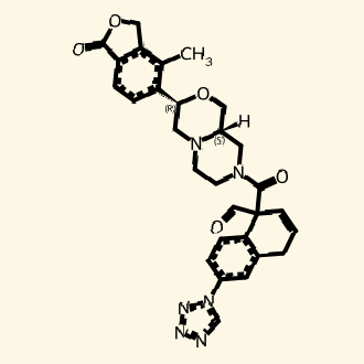 Cc1c([C@@H]2CN3CCN(C(=O)C4(C=O)C=CCc5cc(-n6cnnn6)ccc54)C[C@H]3CO2)ccc2c1COC2=O